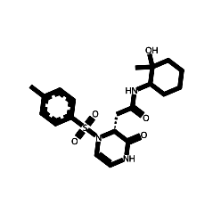 Cc1ccc(S(=O)(=O)N2C=CNC(=O)[C@H]2CC(=O)NC2CCCCC2(C)O)cc1